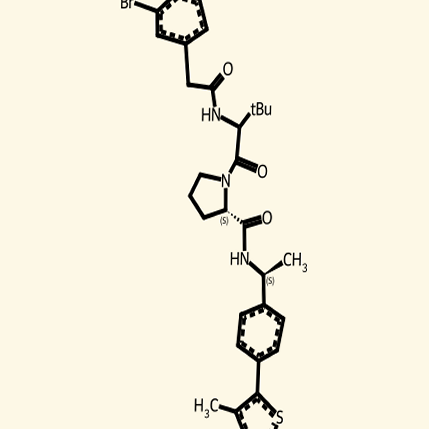 Cc1ncsc1-c1ccc([C@H](C)NC(=O)[C@@H]2CCCN2C(=O)C(NC(=O)Cc2cccc(Br)c2)C(C)(C)C)cc1